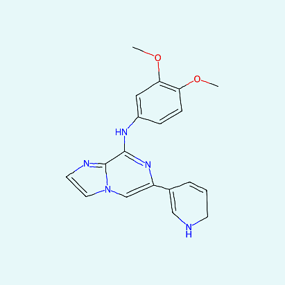 COc1ccc(Nc2nc(C3=CNCC=C3)cn3ccnc23)cc1OC